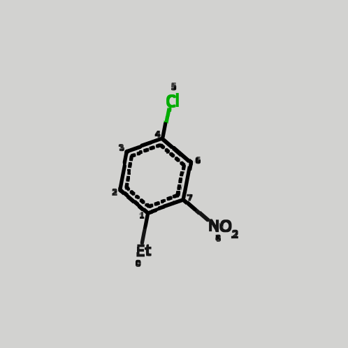 CCc1ccc(Cl)cc1[N+](=O)[O-]